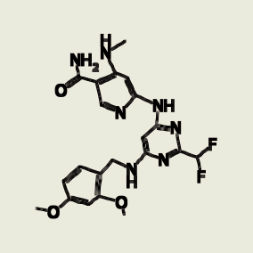 CNc1cc(Nc2cc(NCc3ccc(OC)cc3OC)nc(C(F)F)n2)ncc1C(N)=O